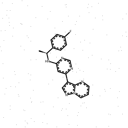 C[C@H](Nc1cc(-c2cnn3cccnc23)ncn1)c1ccc(F)cc1